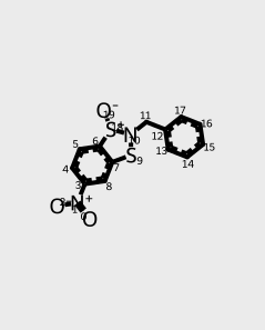 O=[N+]([O-])c1ccc2c(c1)SN(Cc1ccccc1)[S+]2[O-]